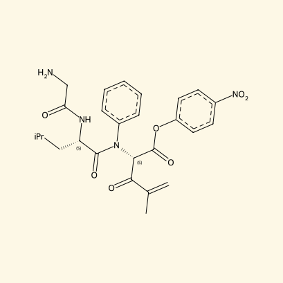 C=C(C)C(=O)[C@@H](C(=O)Oc1ccc([N+](=O)[O-])cc1)N(C(=O)[C@H](CC(C)C)NC(=O)CN)c1ccccc1